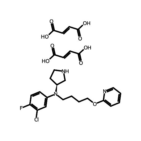 Fc1ccc(N(CCCCOc2ccccn2)[C@H]2CCNC2)cc1Cl.O=C(O)C=CC(=O)O.O=C(O)C=CC(=O)O